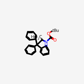 CC(C)(C)OC(=O)NC(C(=O)O)C(c1ccccc1)(c1ccccc1)c1ccccc1